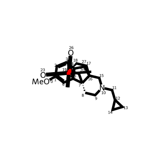 COc1ccc2c(c1)[C@]13CCN(CC4CC4)CC1(CC[C@]1(C3)NC(=O)NC1=O)C2